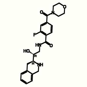 O=C(NC[C@@H](O)[C@@H]1Cc2ccccc2CN1)c1ccc(C(=O)N2CCOCC2)cc1F